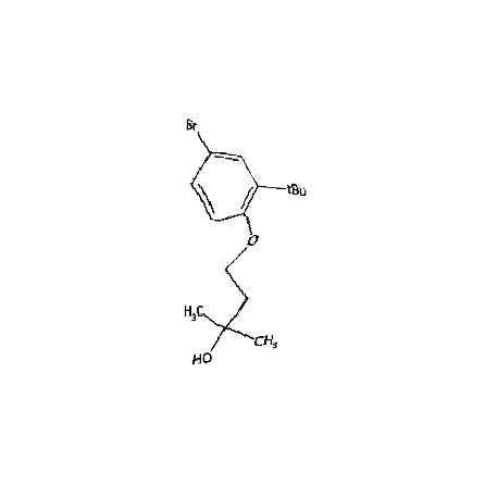 CC(C)(O)CCOc1ccc(Br)cc1C(C)(C)C